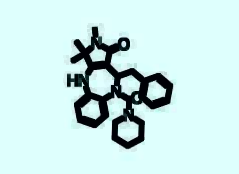 CN1C(=O)C2=C(Nc3ccccc3N(C(=O)N3CCCCC3)C2Cc2ccccc2)C1(C)C